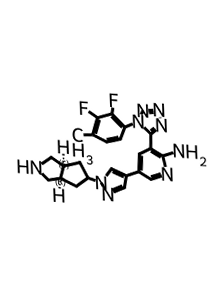 Cc1ccc(-n2nnnc2-c2cc(-c3cnn(C4C[C@H]5CNC[C@H]5C4)c3)cnc2N)c(F)c1F